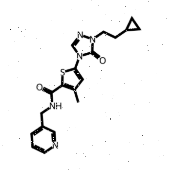 Cc1cc(-n2cnn(CCC3CC3)c2=O)sc1C(=O)NCc1cccnc1